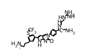 C[C@H](N)CCCc1cc(SC(F)(F)F)cc(-c2cc3cn(-c4ccc([C@H](CCN)NCCCNC(=N)N)cc4)c(=O)nc3[nH]2)c1